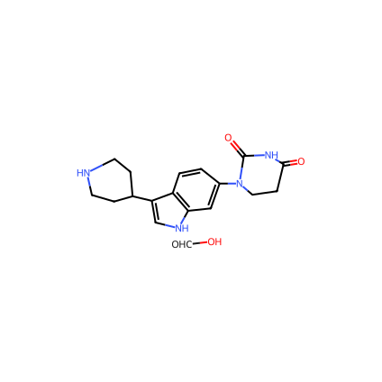 O=C1CCN(c2ccc3c(C4CCNCC4)c[nH]c3c2)C(=O)N1.O=CO